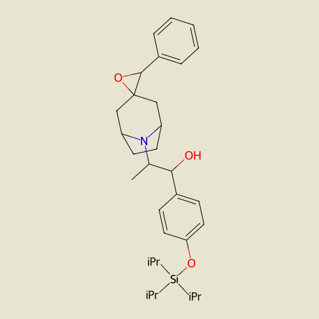 CC(C(O)c1ccc(O[Si](C(C)C)(C(C)C)C(C)C)cc1)N1C2CCC1CC1(C2)OC1c1ccccc1